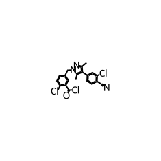 Cc1nn(Cc2ccc(Cl)c(C(=O)Cl)c2)c(C)c1-c1ccc(C#N)c(Cl)c1